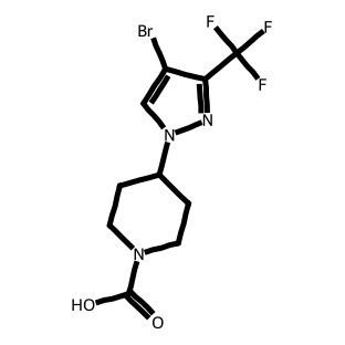 O=C(O)N1CCC(n2cc(Br)c(C(F)(F)F)n2)CC1